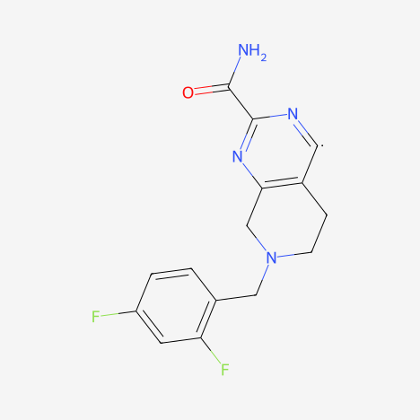 NC(=O)c1n[c]c2c(n1)CN(Cc1ccc(F)cc1F)CC2